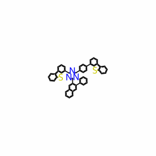 c1ccc(-c2cc3ccccc3cc2-c2nc(-c3ccc(-c4cccc5c4sc4ccccc45)cc3)nc(-c3cccc4c3sc3ccccc34)n2)cc1